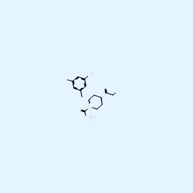 CCOC(=O)CC(=O)[C@H]1CCN(C(=O)OC)[C@H](Cc2cc(C(C)(C)C)cc(C(C)(C)C)c2)C1